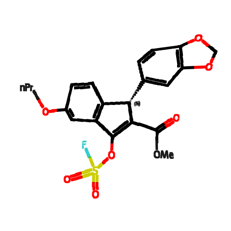 CCCOc1ccc2c(c1)C(OS(=O)(=O)F)=C(C(=O)OC)[C@H]2c1ccc2c(c1)OCO2